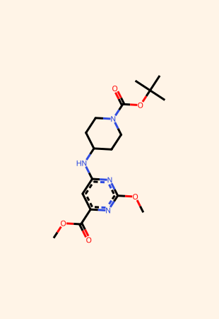 COC(=O)c1cc(NC2CCN(C(=O)OC(C)(C)C)CC2)nc(OC)n1